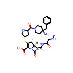 CNCC(=O)N[C@H](C)[C@H]1C(=O)N2C(C(=O)O)=C(S[C@@H]3CNC(C(=O)N4CCC(N)(Cc5ccccc5)CC4)C3)[C@H](C)[C@@H]12